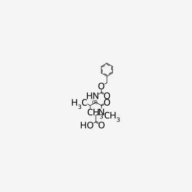 CC(C)[C@H](NC(=O)OCc1ccccc1)C(=O)N(C)CC(=O)O